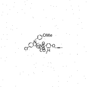 CC#CCOc1ccc(S(=O)(=O)N[C@@H](Cc2c(C)n(Cc3ccc(OC)cc3)c3ccc(Cl)cc23)C(=O)O)cc1